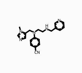 Cn1cncc1CN(CCNCc1cccnc1)c1ccc(C#N)cc1